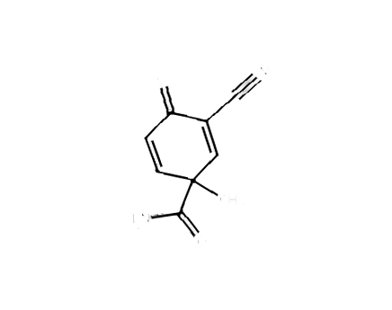 CC1(C(N)=O)C=CC(=O)C(C#N)=C1